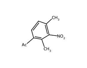 CC(=O)c1ccc(C)c([N+](=O)[O-])c1C